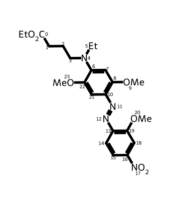 CCOC(=O)CCCN(CC)c1cc(OC)c(N=Nc2ccc([N+](=O)[O-])cc2OC)cc1OC